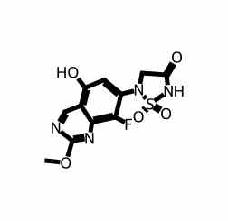 COc1ncc2c(O)cc(N3CC(=O)NS3(=O)=O)c(F)c2n1